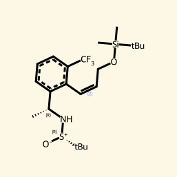 C[C@@H](N[S@@+]([O-])C(C)(C)C)c1cccc(C(F)(F)F)c1/C=C\CO[Si](C)(C)C(C)(C)C